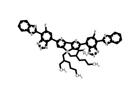 CCCCC(CC)CS1(CC(CC)CCCC)c2cc(-c3cc(F)c(-c4nc5ccccc5s4)c4nsnc34)sc2-c2sc(-c3cc(F)c(-c4nc5ccccc5s4)c4nsnc34)cc21